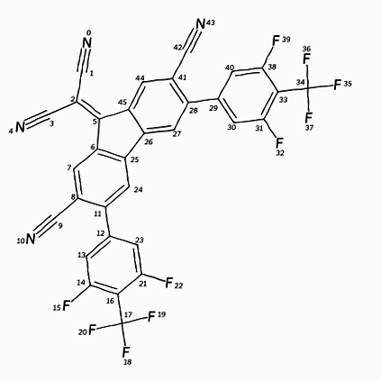 N#CC(C#N)=C1c2cc(C#N)c(-c3cc(F)c(C(F)(F)F)c(F)c3)cc2-c2cc(-c3cc(F)c(C(F)(F)F)c(F)c3)c(C#N)cc21